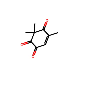 CC1=CC(=O)C(=O)C(C)(C)C1=O